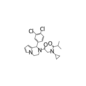 CC(C)C(=O)N(CC(=O)N1CCn2cccc2C1c1ccc(Cl)c(Cl)c1)C1CC1